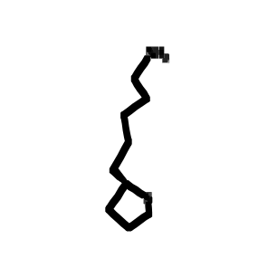 NCCCCC[C@@H]1CCCS1